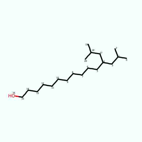 CC(C)CC(CCCCCCCCCCCO)CC(C)C